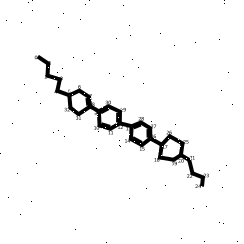 CCCCCC1CC=C(c2ccc(-c3ccc(C4CCC(CCCC)CC4)cc3)cc2)CC1